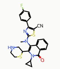 CN(c1nc(-c2ccc(F)cc2)c(C#N)s1)c1c(C2CNCCS2)n(C2CC2)c(=O)c2ccccc12